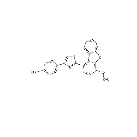 COc1ccc(-c2nc(-c3ccc(C)cc3)cs2)c2c1oc1ccccc12